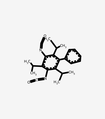 CC(C)c1c(N=C=O)c(C(C)C)c(-c2ccccc2)c(C(C)C)c1N=C=O